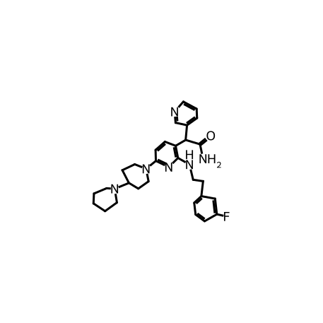 NC(=O)C(c1cccnc1)c1ccc(N2CCC(N3CCCCC3)CC2)nc1NCCc1cccc(F)c1